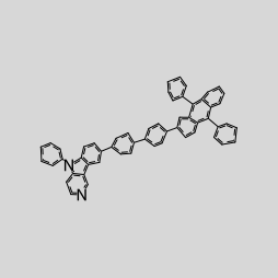 c1ccc(-c2c3ccccc3c(-c3ccccc3)c3cc(-c4ccc(-c5ccc(-c6ccc7c(c6)c6cnccc6n7-c6ccccc6)cc5)cc4)ccc23)cc1